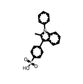 Cc1c(-c2ccc(S(=O)(=O)O)cc2)c2ccccc2n1-c1ccccc1